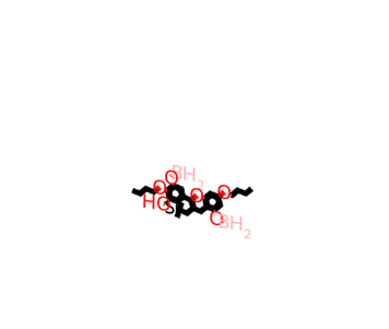 BOc1cc(C2=C(CC(C)(C)[Si](C)(C)O)Cc3c(OB)cc(OCCCC)cc3O2)ccc1OCCCC